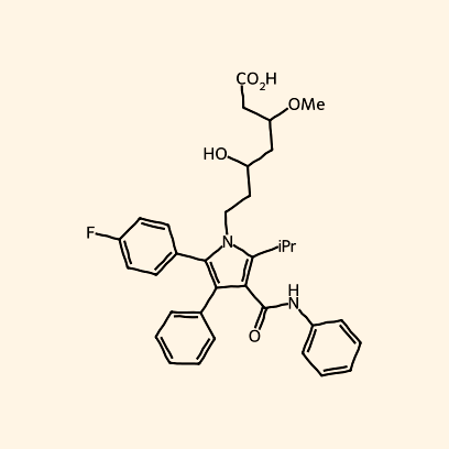 COC(CC(=O)O)CC(O)CCn1c(-c2ccc(F)cc2)c(-c2ccccc2)c(C(=O)Nc2ccccc2)c1C(C)C